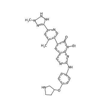 CCn1c(=O)c(-c2cnc(C3=NN(C)NN3)cc2C)cc2cnc(Nc3ccc(OC4CCNC4)cc3)nc21